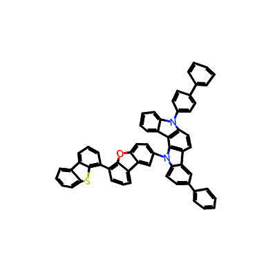 c1ccc(-c2ccc(-n3c4ccccc4c4c3ccc3c5cc(-c6ccccc6)ccc5n(-c5ccc6oc7c(-c8cccc9c8sc8ccccc89)cccc7c6c5)c34)cc2)cc1